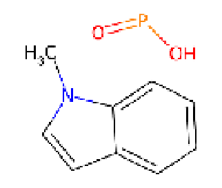 Cn1ccc2ccccc21.O=PO